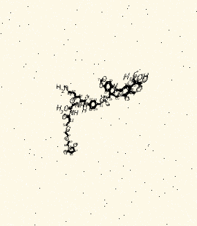 CC[C@@]1(O)C(=O)OCc2c1cc1n(c2=O)Cc2c-1nc1cc3c(cc1c2CNC(=O)OCc1ccc(NC(=O)[C@H](CCCCN)NC(=O)[C@H](C)NC(=O)CCOCCOCCN2C(=O)C=CC2=O)cc1)OCO3